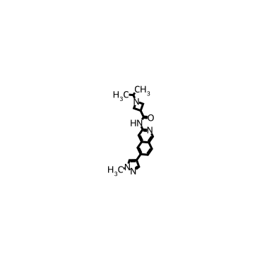 CC(C)N1CC(C(=O)Nc2cc3cc(-c4cnn(C)c4)ccc3cn2)C1